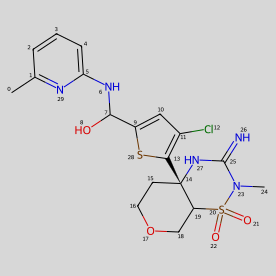 Cc1cccc(NC(O)c2cc(Cl)c([C@]34CCOCC3S(=O)(=O)N(C)C(=N)N4)s2)n1